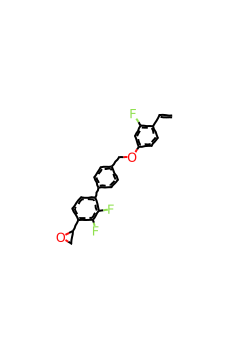 C=Cc1ccc(OCc2ccc(-c3ccc(C4CO4)c(F)c3F)cc2)cc1F